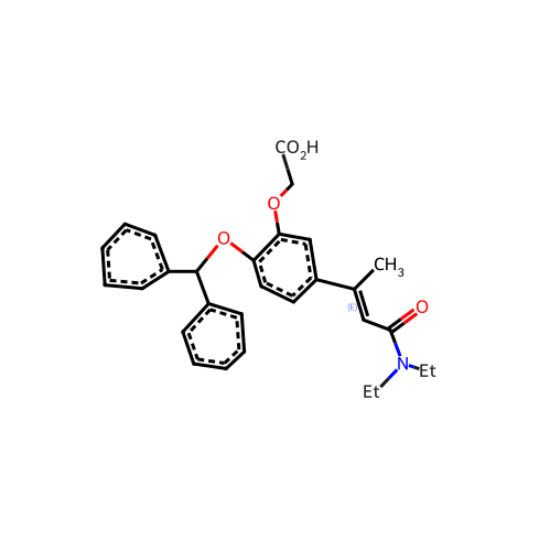 CCN(CC)C(=O)/C=C(\C)c1ccc(OC(c2ccccc2)c2ccccc2)c(OCC(=O)O)c1